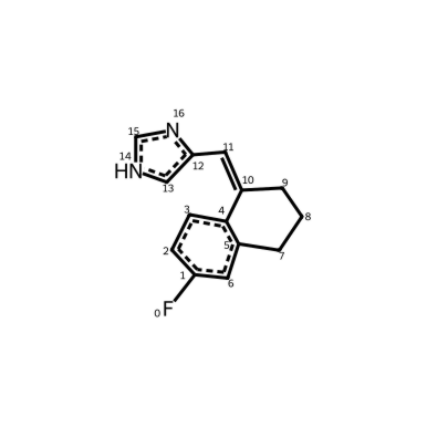 Fc1ccc2c(c1)CCC/C2=C/c1c[nH]cn1